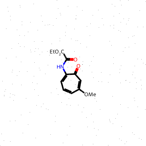 CCOC(=O)C(=O)Nc1cccc(OC)cc1=O